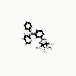 CC1(C)OB(c2cccc(N(c3ccccc3)c3ccccn3)c2)OC1(C)C